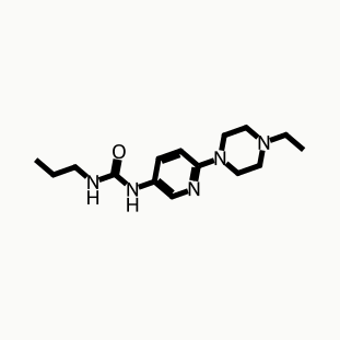 CCCNC(=O)Nc1ccc(N2CCN(CC)CC2)nc1